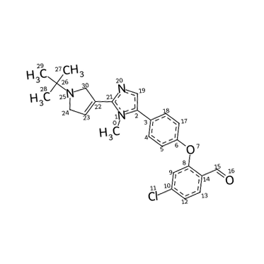 Cn1c(-c2ccc(Oc3cc(Cl)ccc3C=O)cc2)cnc1C1=CCN(C(C)(C)C)C1